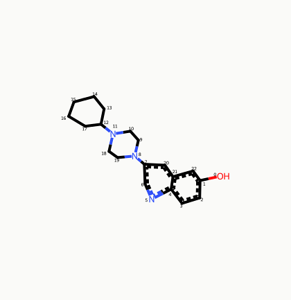 Oc1ccc2ncc(N3CCN(C4CCCCC4)CC3)cc2c1